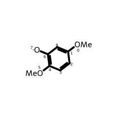 COc1ccc(OC)c([O])c1